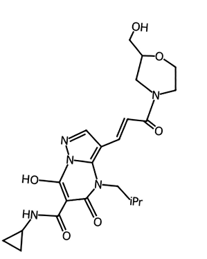 CC(C)Cn1c(=O)c(C(=O)NC2CC2)c(O)n2ncc(C=CC(=O)N3CCOC(CO)C3)c12